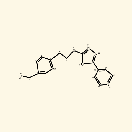 CCc1ccc(CCSc2nnc(-c3ccncc3)o2)cc1